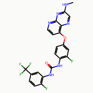 CNc1cnc2c(Oc3ccc(NC(=O)Nc4cc(C(F)(F)F)ccc4F)c(F)c3)ccnc2n1